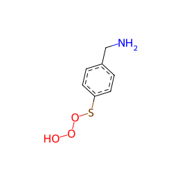 NCc1ccc(SOOO)cc1